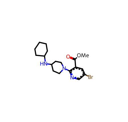 COC(=O)c1cc(Br)cnc1N1CCC(NC2CCCCC2)CC1